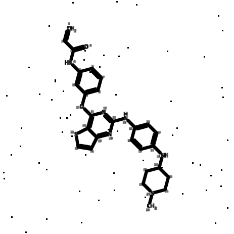 C=CC(=O)Nc1cccc(Oc2nc(Nc3ccc(NC4CCN(C)CC4)cc3)nc3ccsc23)c1